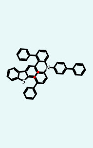 c1ccc(-c2ccc(N(c3ccc(-c4ccccc4)cc3)c3cccc(-c4ccccc4)c3-c3ccc4sc5ccccc5c4c3)cc2)cc1